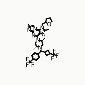 Cc1nc2c(N3C[C@@H](C)N(C(c4ccc(C(F)(F)F)cc4)C4CC(C(F)(F)F)C4)C[C@@H]3C)nc3nncn3c2n1CC1CCCO1